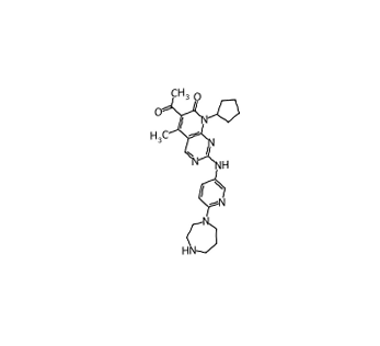 CC(=O)c1c(C)c2cnc(Nc3ccc(N4CCCNCC4)nc3)nc2n(C2CCCC2)c1=O